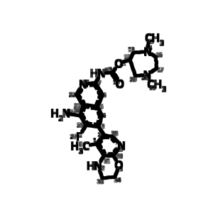 Cc1c(-c2cc3cc(NC(=O)OC4CN(C)CCN(C)C4)ncc3c(N)c2F)cnc2c1NCCO2